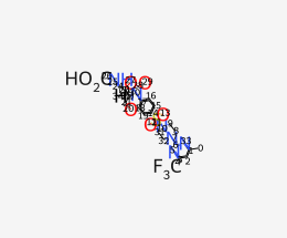 Cc1cc(C(F)(F)F)nc(N2CCN(S(=O)(=O)c3ccc4c(c3)OC[C@H]3[C@H](CNC(=O)O)OC(=O)N43)CC2)n1